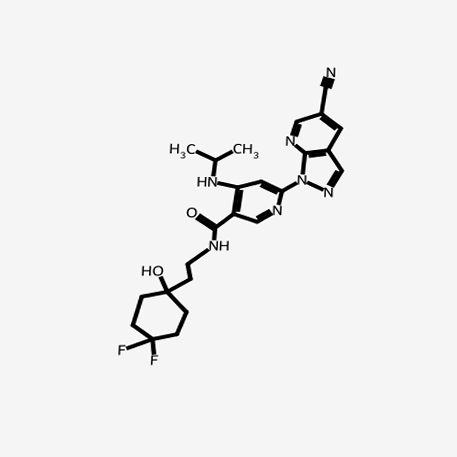 CC(C)Nc1cc(-n2ncc3cc(C#N)cnc32)ncc1C(=O)NCCC1(O)CCC(F)(F)CC1